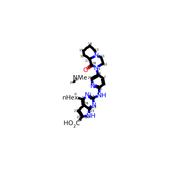 CCCCCCc1nc(Nc2ccc(N3CCN4CCCCC4C3=O)cn2)nc2[nH]c(C(=O)O)cc12.CNC